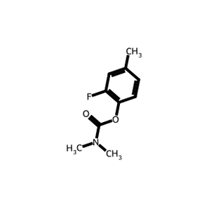 Cc1ccc(OC(=O)N(C)C)c(F)c1